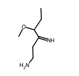 CCC(OC)C(=N)CCN